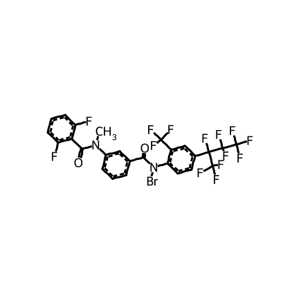 CN(C(=O)c1c(F)cccc1F)c1cccc(C(=O)N(Br)c2ccc(C(F)(C(F)(F)F)C(F)(F)C(F)(F)F)cc2C(F)(F)F)c1